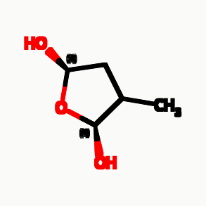 CC1C[C@H](O)O[C@@H]1O